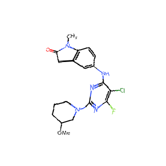 COC1CCCN(c2nc(F)c(Cl)c(Nc3ccc4c(c3)CC(=O)N4C)n2)C1